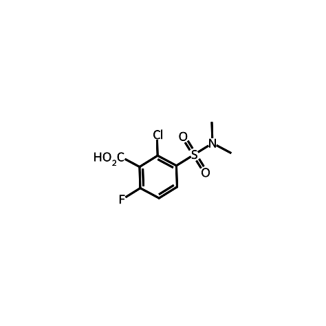 CN(C)S(=O)(=O)c1ccc(F)c(C(=O)O)c1Cl